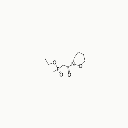 CCOP(C)(=O)CC(=O)N1CCCCO1